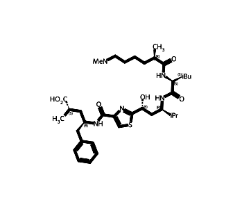 CC[C@H](C)[C@H](NC(=O)[C@H](C)CCCCNC)C(=O)N[C@H](C[C@@H](O)c1nc(C(=O)N[C@@H](Cc2ccccc2)C[C@H](C)C(=O)O)cs1)C(C)C